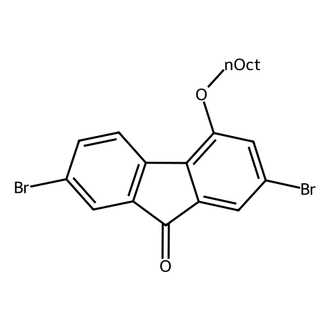 CCCCCCCCOc1cc(Br)cc2c1-c1ccc(Br)cc1C2=O